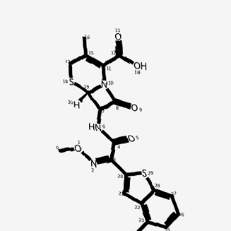 CON=C(C(=O)NC1C(=O)N2C(C(=O)O)=C(C)CS[C@@H]12)c1cc2c(Cl)cccc2s1